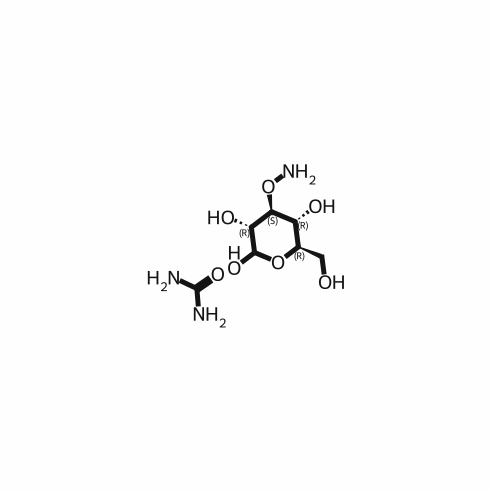 NC(N)=O.NO[C@H]1[C@H](O)[C@@H](CO)OC(O)[C@@H]1O